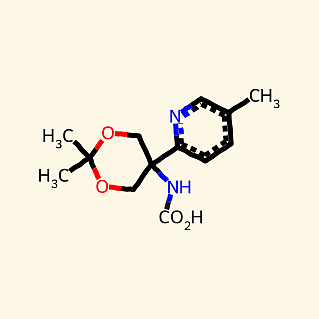 Cc1ccc(C2(NC(=O)O)COC(C)(C)OC2)nc1